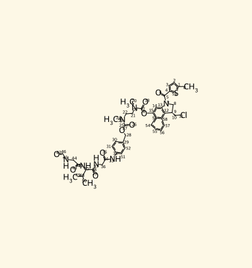 Cc1ccc(C(=O)N2C[C@@H](CCl)c3c2cc(OC(=O)N(C)CCN(C)C(=O)OCc2ccc(NC(=O)CNC(=O)C(NC(=O)CNC=O)C(C)C)cc2)c2ccccc32)s1